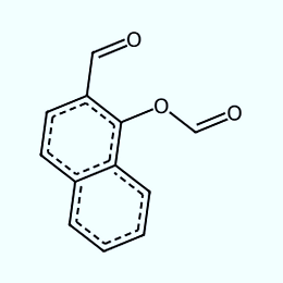 O=COc1c(C=O)ccc2ccccc12